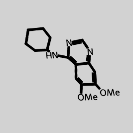 COc1cc2ncnc(NC3CCCCC3)c2cc1OC